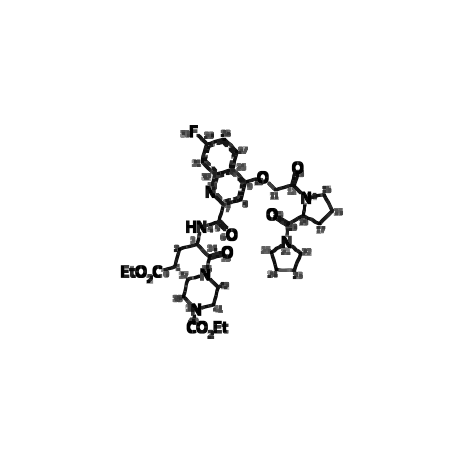 CCOC(=O)CCC(NC(=O)c1cc(OCC(=O)N2CCCC2C(=O)N2CCCC2)c2ccc(F)cc2n1)C(=O)N1CCN(C(=O)OCC)CC1